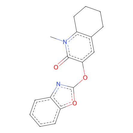 Cn1c2c(cc(Oc3nc4ccccc4o3)c1=O)CCCC2